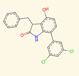 O=C1Nc2c(-c3cc(Cl)cc(Cl)c3)ccc(O)c2C1Cc1ccccc1